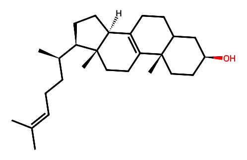 CC(C)=CCC[C@@H](C)[C@H]1CC[C@H]2C3=C(CC[C@]12C)[C@@]1(C)CC[C@H](O)CC1CC3